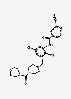 Cc1c(CN2CCN(C(=O)C3CCOCC3)CC2)cc(Cl)cc1NC(=O)c1cccc(C#N)c1